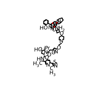 Cc1ncsc1-c1ccc([C@H](C)NC(=O)[C@H]2C[C@H](O)CN2C(=O)C(c2cc(OCCN3CCC(O[C@H]4C[C@H](Oc5cc(N6C7CCC6CN(c6cc(-c8ccccc8O)nnc6N)C7)ccn5)C4)CC3)no2)C(C)C)cn1